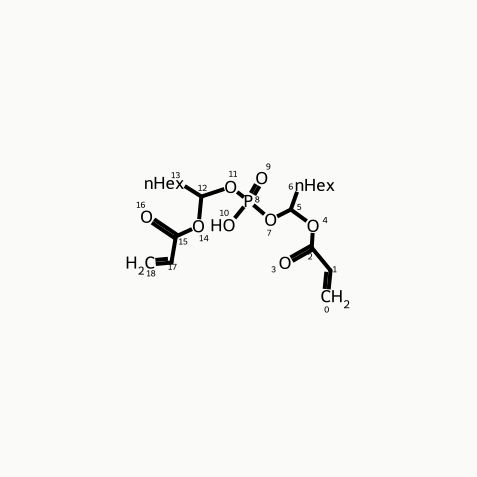 C=CC(=O)OC(CCCCCC)OP(=O)(O)OC(CCCCCC)OC(=O)C=C